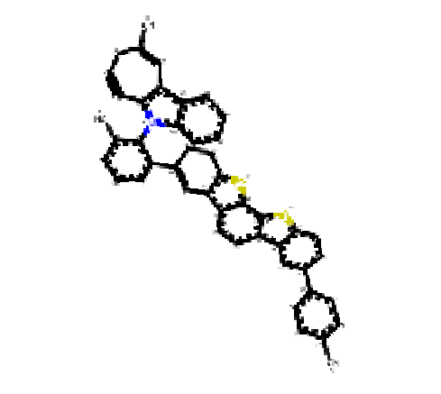 N#CC1=Cc2c(n(-c3c(C#N)cccc3C3=Cc4c(sc5c4ccc4c6cc(-c7ccc(C#N)cc7)ccc6sc45)CC3)c3ccccc23)C#CC1